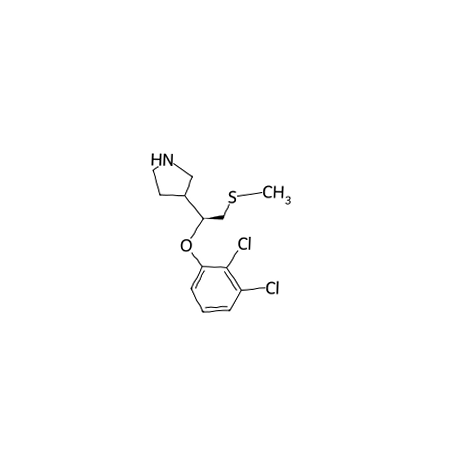 CSC[C@@H](Oc1cccc(Cl)c1Cl)C1CCNC1